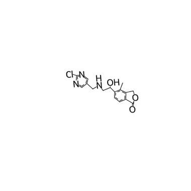 Cc1c([C@@H](O)CNCc2cnc(Cl)nc2)ccc2c1COC2=O